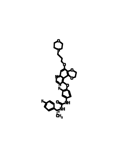 C[C@@H](NC(=O)Nc1ccc(Oc2ncnc3cc(OCCCN4CCOCC4)c4c(c23)OCCO4)c(F)c1)c1ccc(F)cc1